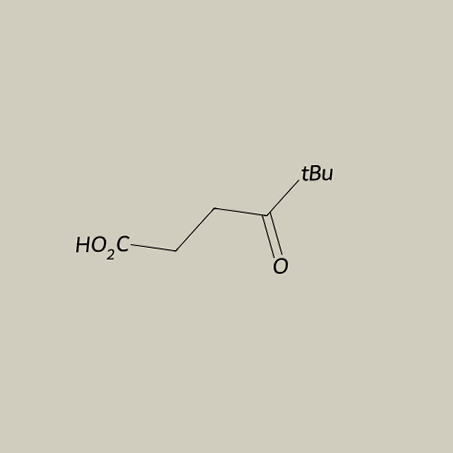 CC(C)(C)C(=O)CCC(=O)O